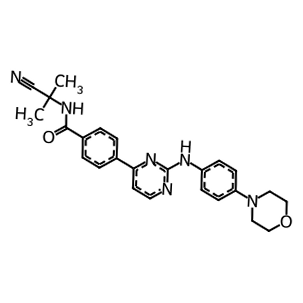 CC(C)(C#N)NC(=O)c1ccc(-c2ccnc(Nc3ccc(N4CCOCC4)cc3)n2)cc1